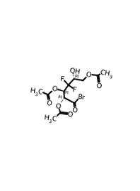 CC(=O)OC[C@@H](O)C(F)(F)[C@H](OC(C)=O)[C@@H](OC(C)=O)C(=O)Br